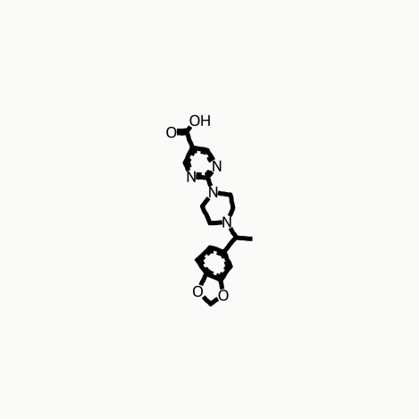 CC(c1ccc2c(c1)OCO2)N1CCN(c2ncc(C(=O)O)cn2)CC1